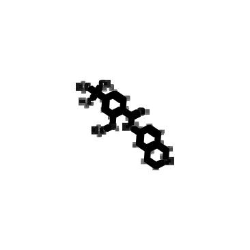 COc1cc(C(C)(C)C)ccc1C(=O)Nc1ccc2c(c1)CCNC2